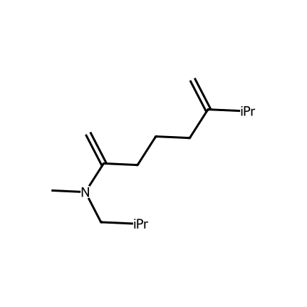 C=C(CCCC(=C)N(C)CC(C)C)C(C)C